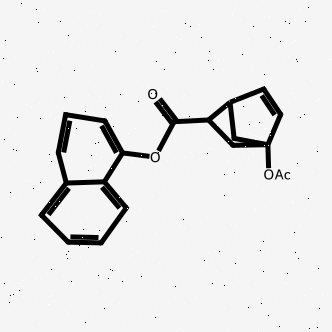 CC(=O)OC12C=CC(C1)C(C(=O)Oc1cccc3ccccc13)C2